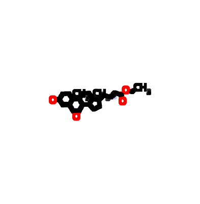 CCOC(=O)/C=C/CC1CCC2C3C4OC4C4=CC(=O)CCC4(C)C3CCC12C